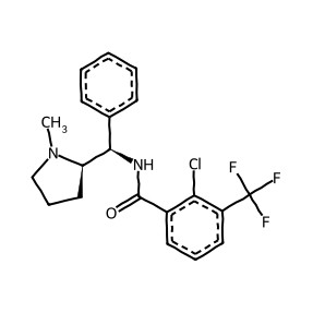 CN1CCC[C@@H]1[C@H](NC(=O)c1cccc(C(F)(F)F)c1Cl)c1ccccc1